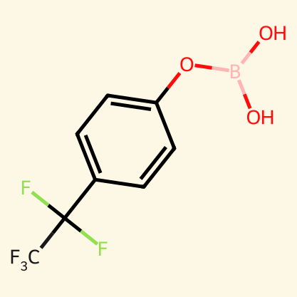 OB(O)Oc1ccc(C(F)(F)C(F)(F)F)cc1